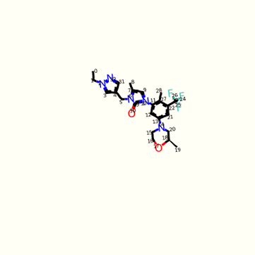 CCn1cc(Cn2c(C)cn(-c3cc(N4CCO[C@H](C)C4)cc(C(F)(F)F)c3C)c2=O)cn1